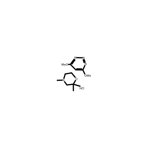 CN1CCOC(C)(C)C1.COc1cc(OC)nnn1.Cl